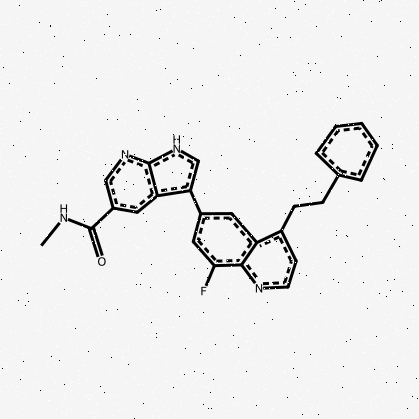 CNC(=O)c1cnc2[nH]cc(-c3cc(F)c4nccc(CCc5ccccc5)c4c3)c2c1